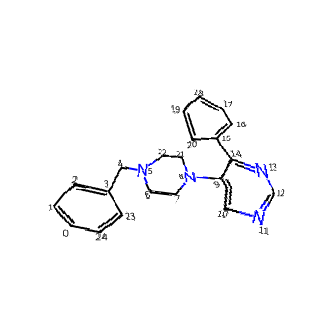 c1ccc(CN2CCN(c3cncnc3-c3ccccc3)CC2)cc1